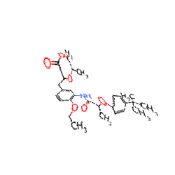 CCOc1ccc(CC(OC(C)C)C(=O)O)cc1NC(=O)C(C)Oc1ccc(C(C)(C)C)cc1